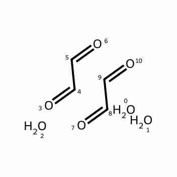 O.O.O.O=CC=O.O=CC=O